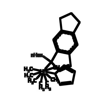 CCCCCC[C]1([Hf]([CH3])([CH3])([CH3])([CH3])([CH3])([CH3])([CH3])[CH]2C=CC=C2)C=Cc2cc3c(cc21)CCC3